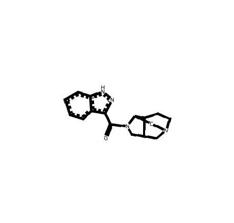 O=C(c1n[nH]c2ccccc12)N1CC2CN3CCC2C1C3